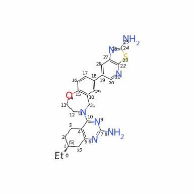 CC[C@H]1CCc2c(nc(N)nc2N2CCOc3ccc(-c4cnc5sc(N)nc5c4)cc3C2)C1